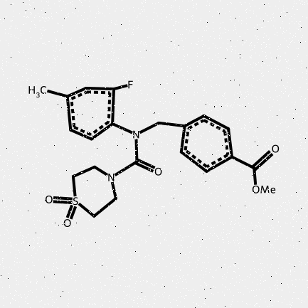 COC(=O)c1ccc(CN(C(=O)N2CCS(=O)(=O)CC2)c2ccc(C)cc2F)cc1